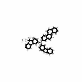 CC1(C)c2ccccc2-c2cc(N(c3ccc4c(ccc5c6ccccc6ccc45)c3)c3ccc4sc5ccccc5c4c3)ccc21